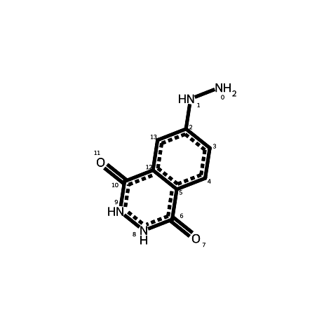 NNc1ccc2c(=O)[nH][nH]c(=O)c2c1